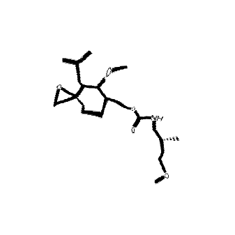 COC[C@@H](C)NC(=O)OC1CC[C@]2(CO2)C(C(C)C)C1OC